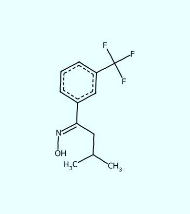 CC(C)C/C(=N\O)c1cccc(C(F)(F)F)c1